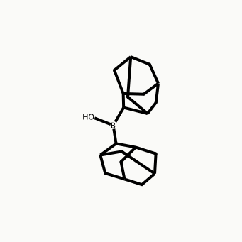 OB(C1C2CC3CC(C2)CC1C3)C1C2CC3CC(C2)CC1C3